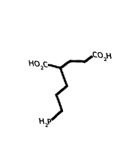 O=C(O)CCC(CCCP)C(=O)O